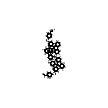 C=Cc1ccc(Oc2ccc(C3(c4c(F)cccc4F)c4ccccc4-c4ccc(N(c5ccc6c(c5)C(c5ccc(Oc7ccc(C=C)cc7)cc5)(c5c(F)cccc5F)c5ccccc5-6)c5cccc6c5oc5ccccc56)cc43)cc2)cc1